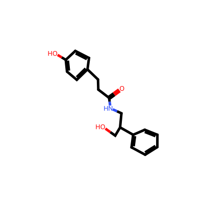 O=C(CCc1ccc(O)cc1)NCC(CO)c1ccccc1